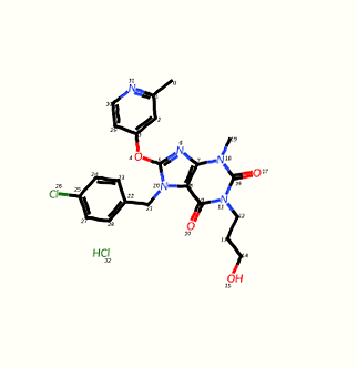 Cc1cc(Oc2nc3c(c(=O)n(CCCO)c(=O)n3C)n2Cc2ccc(Cl)cc2)ccn1.Cl